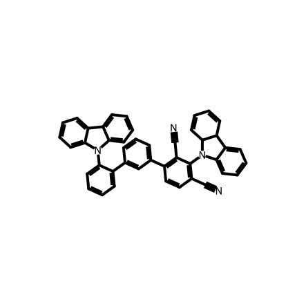 N#Cc1ccc(-c2cccc(-c3ccccc3-n3c4ccccc4c4ccccc43)c2)c(C#N)c1N1c2ccccc2C2C=CC=CC21